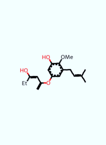 C=C(/C=C(/O)CC)Oc1cc(O)c(OC)c(CC=C(C)C)c1